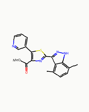 COC(=O)c1nc(-c2n[nH]c3c(C)ccc(C)c23)sc1-c1cccnc1